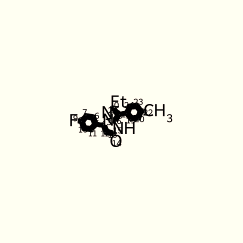 CCc1nn2c(-c3ccc(F)cc3)cc(=O)[nH]c2c1-c1ccc(C)cc1